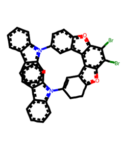 Brc1c(Br)c2oc3ccc(-n4c5ccccc5c5ccccc54)cc3c2c2c3c(oc12)CCC(n1c2ccccc2c2ccccc21)=C3